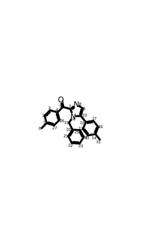 Cc1ccc(C(=O)c2ncc(-c3ccc(C)cc3)n2Cc2ccccc2)cc1